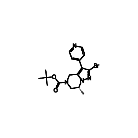 C[C@@H]1CN(C(=O)OC(C)(C)C)Cc2c(-c3ccncc3)c(Br)nn21